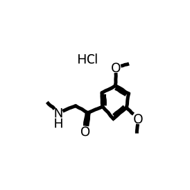 CNCC(=O)c1cc(OC)cc(OC)c1.Cl